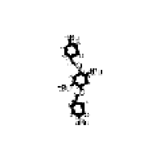 CCC(C)c1ccc(COc2cc(C(C)(C)C)c(OCc3ccc(C(C)CC)cc3)cc2C(C)(C)C)cc1